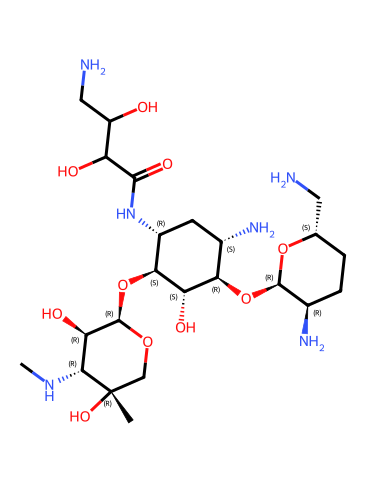 CN[C@@H]1[C@@H](O)[C@@H](O[C@@H]2[C@@H](O)[C@H](O[C@H]3O[C@H](CN)CC[C@H]3N)[C@@H](N)C[C@H]2NC(=O)C(O)C(O)CN)OC[C@]1(C)O